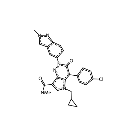 CNC(=O)c1cn(CC2CC2)c2c(-c3ccc(Cl)cc3)c(=O)n(-c3ccc4nn(C)cc4c3)nc12